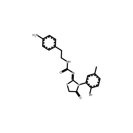 Cc1ccc(C(C)C)c(N2C(=O)CS/C2=N\C(=O)NCCc2ccc(N)cc2)c1